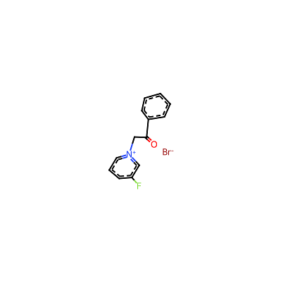 O=C(C[n+]1cccc(F)c1)c1ccccc1.[Br-]